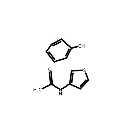 CC(=O)Nc1ccsc1.Oc1ccccc1